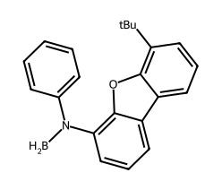 BN(c1ccccc1)c1cccc2c1oc1c(C(C)(C)C)cccc12